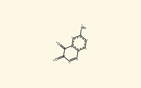 CC(C)(C)c1ccc2c(c1)C(=O)C(=O)C=C2